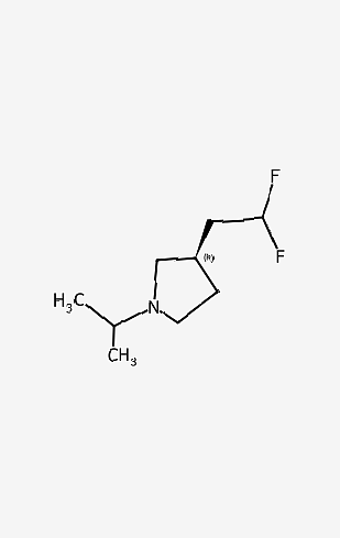 CC(C)N1CC[C@H](CC(F)F)C1